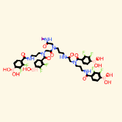 O=C(CN(CCCNC(=O)CN(CCCNC(=O)c1ccc(B(O)O)c(F)c1F)C(=O)c1ccc(B(O)O)c(F)c1F)C(=O)CN(CCCNC(=O)c1ccc(B(O)O)c(F)c1F)C(=O)c1ccc(BO)c(F)c1F)NI